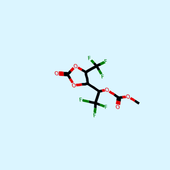 COC(=O)OC(C1OC(=O)OC1C(F)(F)F)C(F)(F)F